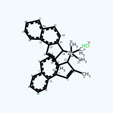 CC1=Cc2c(ccc3ccccc23)[CH]1[Zr]([CH3])([CH3])([SiH3])[CH]1C(C)=Cc2c1ccc1ccccc21.Cl